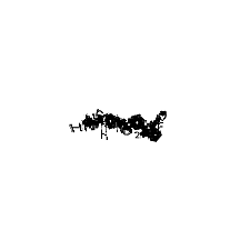 COCCCn1c(C2CCCN(C(=O)CC(N)Cc3ccc(NC(=O)c4c[nH]cn4)cc3)C2)c(C)c2cccc(F)c21